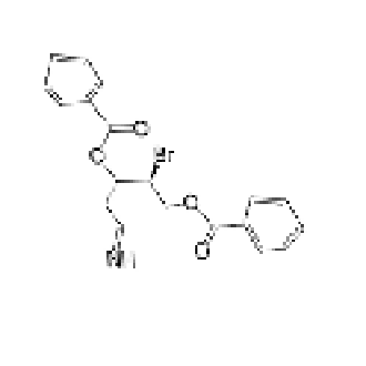 N=CC[C@H](OC(=O)c1ccccc1)[C@@H](Br)COC(=O)c1ccccc1